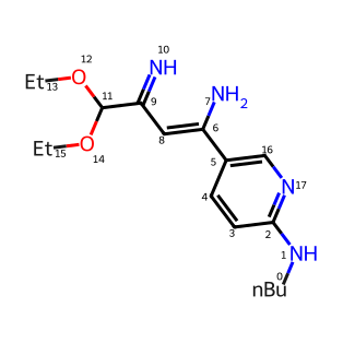 CCCCNc1ccc(/C(N)=C/C(=N)C(OCC)OCC)cn1